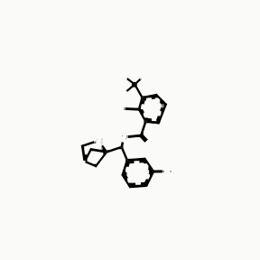 O=C(NC(c1cccc(O)c1)C12CC(CN1)C2)c1cccc(C(F)(F)F)c1Cl